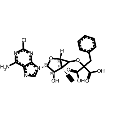 C#C[C@@]12C(OC(Cc3ccccc3)(C(=O)O)C(=O)O)[C@H]1O[C@@H](n1cnc3c(N)nc(Cl)nc31)[C@@H]2O